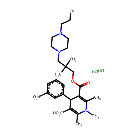 CC1=C(C(=O)O)C(c2cccc([N+](=O)[O-])c2)C(C(=O)OCC(C)(C)CN2CCN(CCC#N)CC2)=C(C)N1C.Cl.Cl